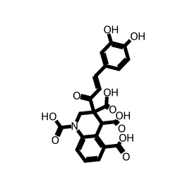 O=C(O)c1cccc2c1C(C(=O)O)C(C(=O)O)(C(=O)C=Cc1ccc(O)c(O)c1)CN2C(=O)O